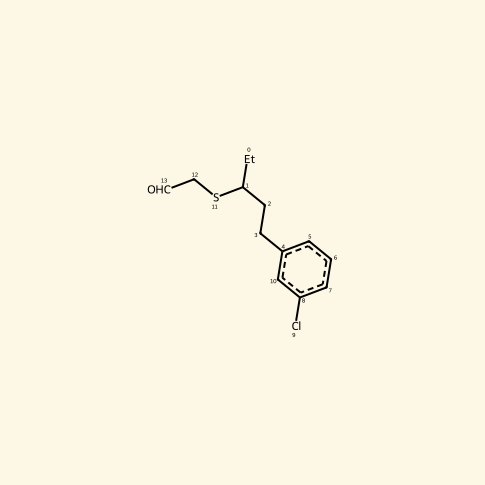 [CH2]CC(CCc1cccc(Cl)c1)SCC=O